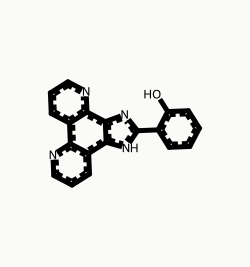 Oc1ccccc1-c1nc2c3ncccc3c3ncccc3c2[nH]1